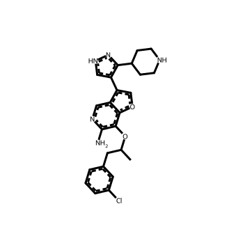 CC(Cc1cccc(Cl)c1)Oc1c(N)ncc2c(-c3c[nH]nc3C3CCNCC3)coc12